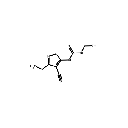 CCNC(=O)Nc1onc(CC)c1C#N